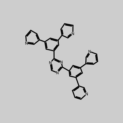 c1cncc(-c2cc(-c3cccnc3)cc(-c3ncnc(-c4cc(-c5cccnc5)cc(-c5cccnc5)c4)n3)c2)c1